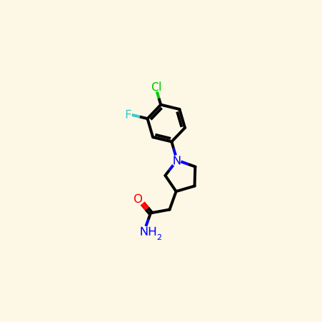 NC(=O)CC1CCN(c2ccc(Cl)c(F)c2)C1